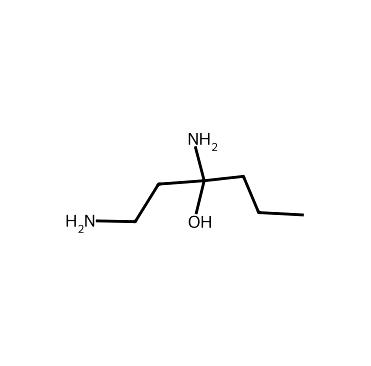 CCCC(N)(O)CCN